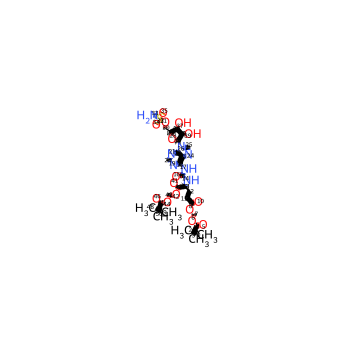 CC(C)(C)C(=O)OCOC(=O)CC[C@H](NC(=O)Nc1ncnc2c1ncn2[C@@H]1O[C@H](COS(N)(=O)=O)[C@@H](O)[C@H]1O)C(=O)OCOC(=O)C(C)(C)C